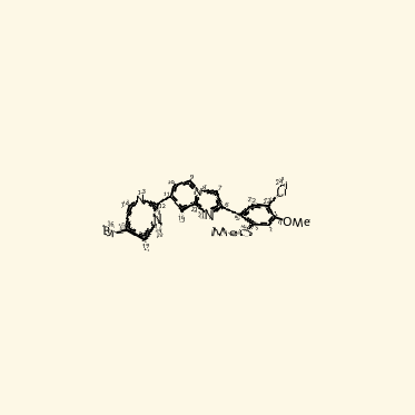 COc1cc(OC)c(-c2cn3ccc(-c4ncc(Br)cn4)cc3n2)cc1Cl